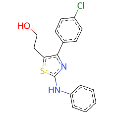 OCCc1sc(Nc2ccccc2)nc1-c1ccc(Cl)cc1